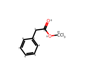 O=C(Cc1ccccc1)OC(Cl)(Cl)Cl